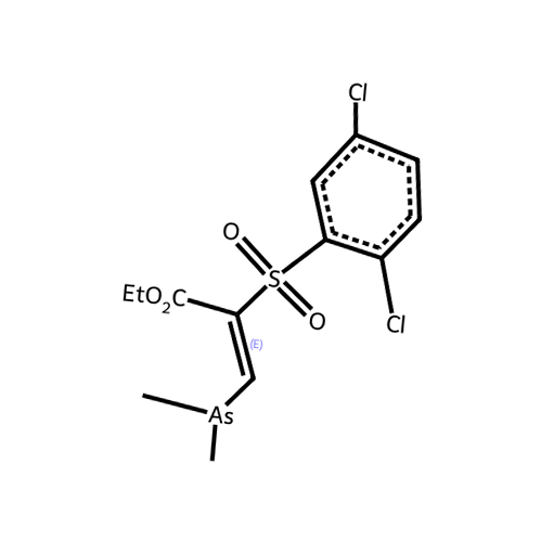 CCOC(=O)/C(=C\[As](C)C)S(=O)(=O)c1cc(Cl)ccc1Cl